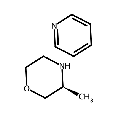 C[C@H]1COCCN1.c1ccncc1